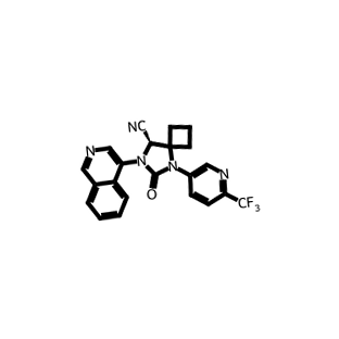 N#C[C@@H]1N(c2cncc3ccccc23)C(=O)N(c2ccc(C(F)(F)F)nc2)C12CCC2